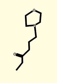 CCC(=O)CCCN1CCOCC1